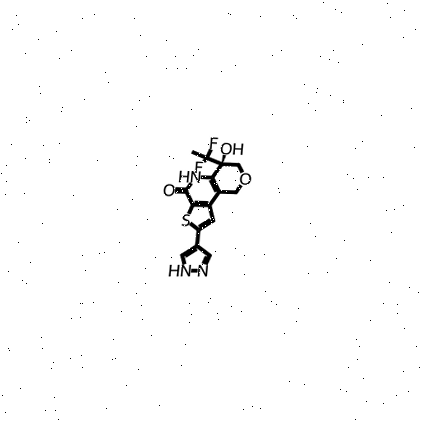 CC(F)(F)[C@]1(O)COCc2c1[nH]c(=O)c1sc(-c3cn[nH]c3)cc21